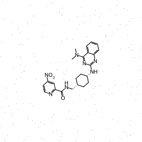 CN(C)c1nc(N[C@H]2CC[C@@H](CNC(=O)c3cc([N+](=O)[O-])ccn3)CC2)nc2ccccc12